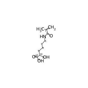 C=C(C)C(=O)NCCCCC(O)C(=O)O